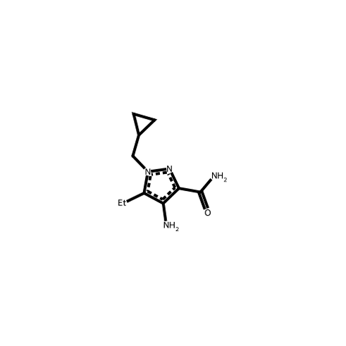 CCc1c(N)c(C(N)=O)nn1CC1CC1